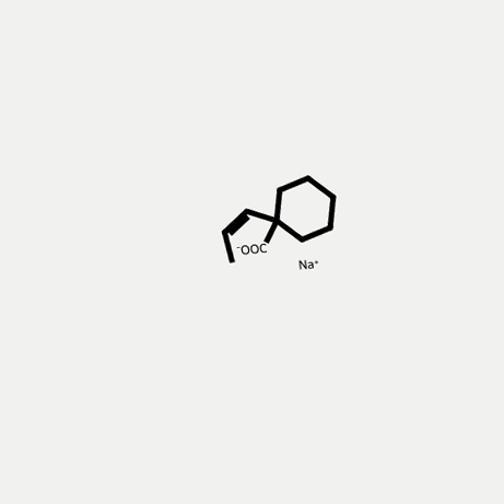 C/C=C\C1(C(=O)[O-])CCCCC1.[Na+]